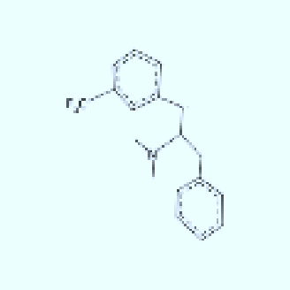 CN(C)C([CH]c1cccc(C(F)(F)F)c1)Cc1ccccc1